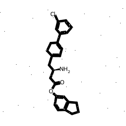 N[C@@H](CC(=O)Oc1ccc2c(c1)CCC2)CC1=CC=C(c2cccc(Cl)c2)CC1